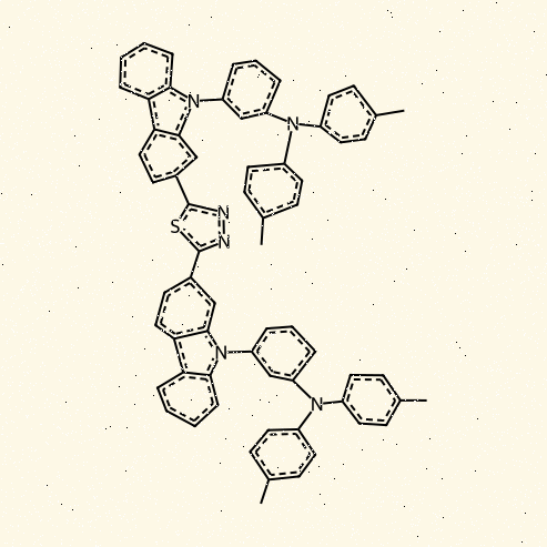 Cc1ccc(N(c2ccc(C)cc2)c2cccc(-n3c4ccccc4c4ccc(-c5nnc(-c6ccc7c8ccccc8n(-c8cccc(N(c9ccc(C)cc9)c9ccc(C)cc9)c8)c7c6)s5)cc43)c2)cc1